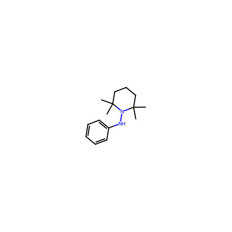 CC1(C)CCCC(C)(C)N1Nc1ccccc1